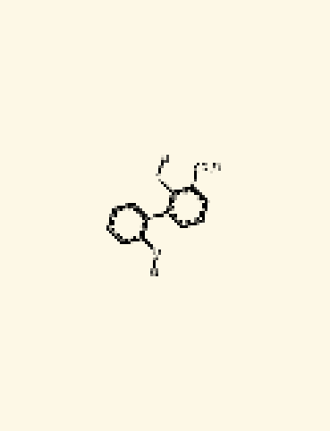 CCOC(=O)c1cccc(-c2ccccc2OCC)c1OCC